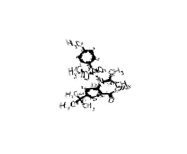 COP(=O)(c1ccc(C)cc1)N(c1cc(C(C)(C)C)sc1C(=O)O)C(C)C